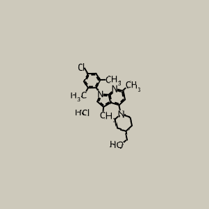 Cc1cc(N2CCC(CO)CC2)c2c(C)cn(-c3c(C)cc(Cl)cc3C)c2n1.Cl